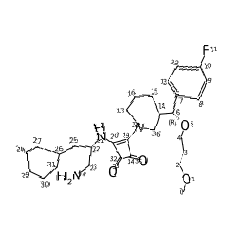 COCCCO[C@@H](c1ccc(F)cc1)C1CCCN(c2c(NC(CN)CC3CCCCC3)c(=O)c2=O)C1